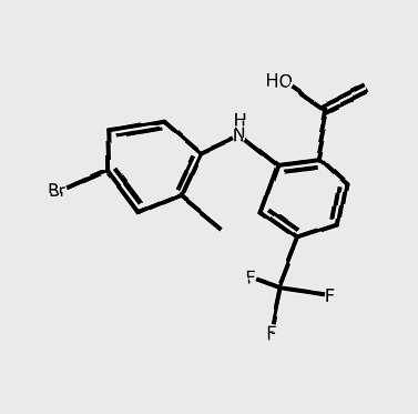 C=C(O)c1ccc(C(F)(F)F)cc1Nc1ccc(Br)cc1C